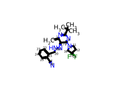 C=C1N=C(C(C)(C)C)N=C(N2CCC(F)(F)C2)/C1=N/NCc1ccccc1C#N